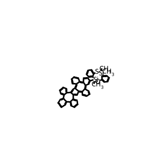 C[Si]1(C)Sc2ccccc2[Si](C)(c2ccc3c4ccccc4c4cc5c6ccccc6c6ccccc6c6ccccc6c5cc4c4ccccc4c3c2)Oc2ccccc21